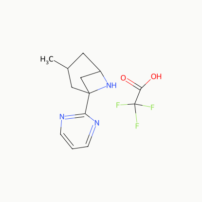 CC1CC2CC(c3ncccn3)(C1)N2.O=C(O)C(F)(F)F